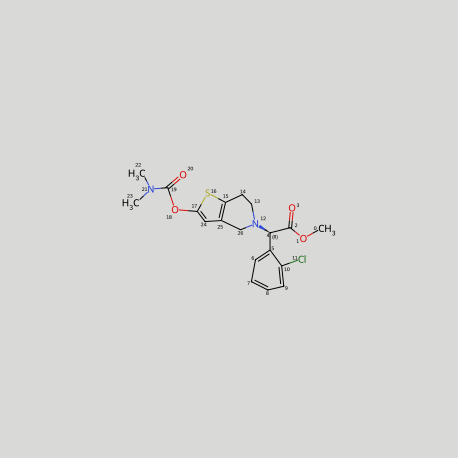 COC(=O)[C@@H](c1ccccc1Cl)N1CCc2sc(OC(=O)N(C)C)cc2C1